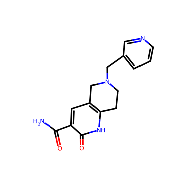 NC(=O)c1cc2c([nH]c1=O)CCN(Cc1cccnc1)C2